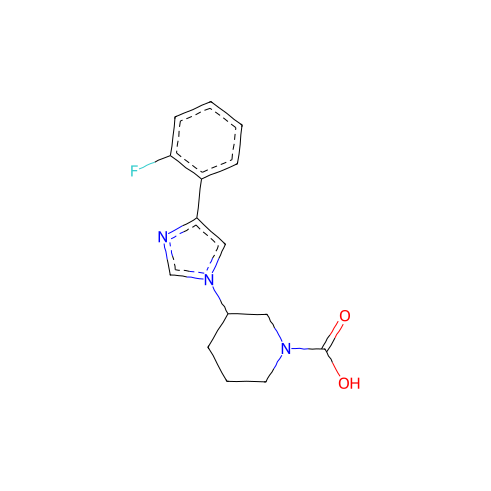 O=C(O)N1CCCC(n2cnc(-c3ccccc3F)c2)C1